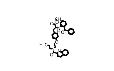 CCCN(CCOc1ccc(CC(Nc2ccccc2C(=O)c2ccccc2)C(=O)OC)cc1)C(=O)c1ccc2ccccc2n1